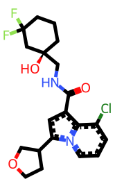 O=C(NC[C@@]1(O)CCCC(F)(F)C1)c1cc(C2CCOC2)n2cccc(Cl)c12